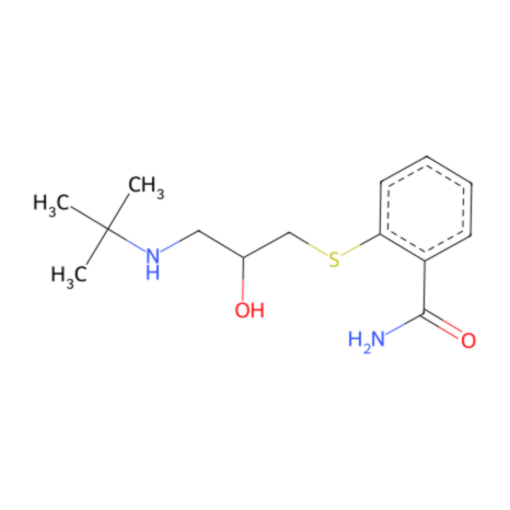 CC(C)(C)NCC(O)CSc1ccccc1C(N)=O